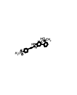 CC(C)(O)c1ccccc1-c1ccc2[nH]c(C#Cc3ccc(S(C)(=O)=O)cc3)nc2c1